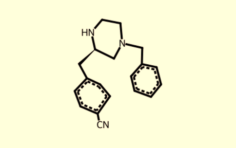 N#Cc1ccc(C[C@@H]2CN(Cc3ccccc3)CCN2)cc1